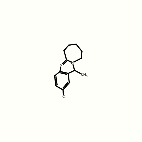 CC1c2cc(Cl)ccc2N=C2CCCCCN21